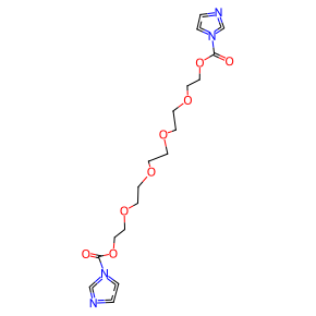 O=C(OCCOCCOCCOCCOCCOC(=O)n1ccnc1)n1ccnc1